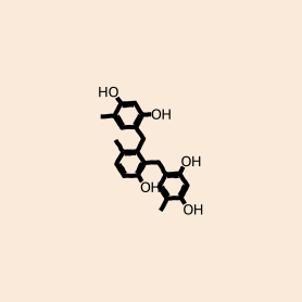 Cc1cc(Cc2c(C)ccc(O)c2Cc2cc(C)c(O)cc2O)c(O)cc1O